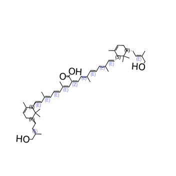 CC1=CC[C@H](C/C=C(\C)CO)C(C)(C)[C@@H]1/C=C/C(C)=C/C=C/C(C)=C/C=C(/C=C(C)/C=C/C=C(C)/C=C/[C@@H]1C(C)=CC[C@H](C/C=C(\C)CO)C1(C)C)C(=O)O